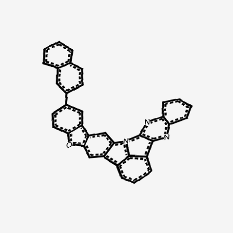 c1ccc2cc(-c3ccc4oc5cc6c7cccc8c9nc%10ccccc%10nc9n(c6cc5c4c3)c78)ccc2c1